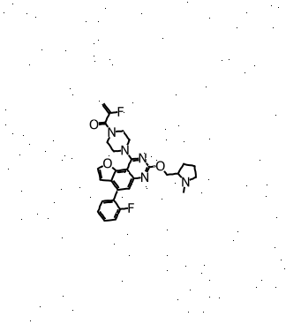 C=C(F)C(=O)N1CCN(c2nc(OCC3CCCN3C)nc3cc(-c4ccccc4F)c4ccoc4c23)CC1